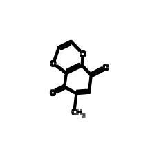 Cc1cc(=O)c2occoc=2c1=O